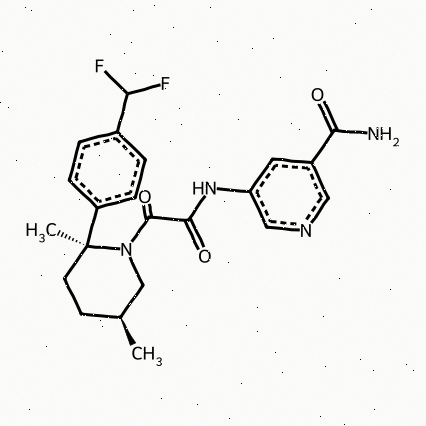 C[C@H]1CC[C@@](C)(c2ccc(C(F)F)cc2)N(C(=O)C(=O)Nc2cncc(C(N)=O)c2)C1